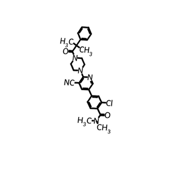 CN(C)C(=O)c1ccc(-c2cnc(N3CCN(C(=O)C(C)(C)c4ccccc4)CC3)c(C#N)c2)cc1Cl